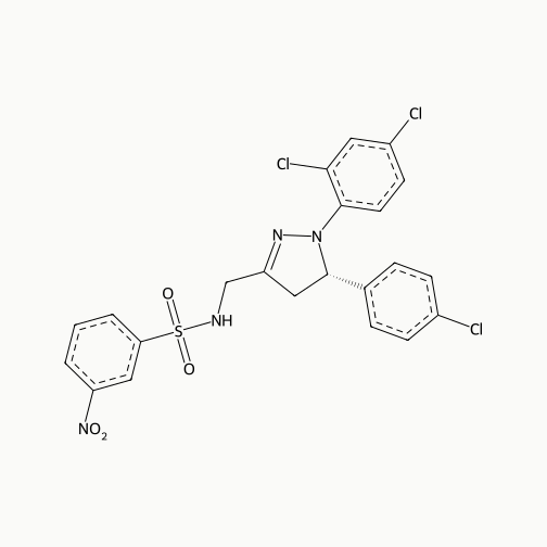 O=[N+]([O-])c1cccc(S(=O)(=O)NCC2=NN(c3ccc(Cl)cc3Cl)[C@H](c3ccc(Cl)cc3)C2)c1